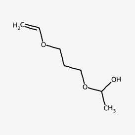 C=COCCCOC(C)O